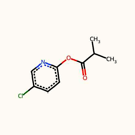 CC(C)C(=O)Oc1c[c]c(Cl)cn1